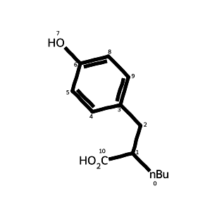 CCCCC(Cc1ccc(O)cc1)C(=O)O